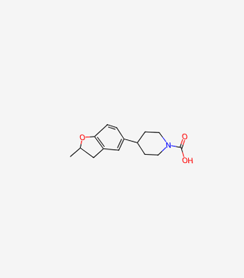 CC1Cc2cc(C3CCN(C(=O)O)CC3)ccc2O1